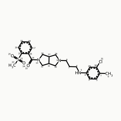 Cc1ccc(NCCCN2CC3CN(C(=O)c4ccccc4S(C)(=O)=O)CC3C2)cc1Cl